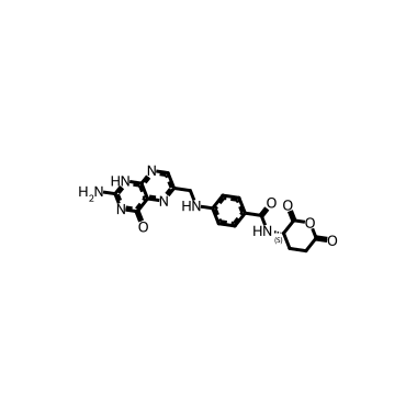 Nc1nc(=O)c2nc(CNc3ccc(C(=O)N[C@H]4CCC(=O)OC4=O)cc3)cnc2[nH]1